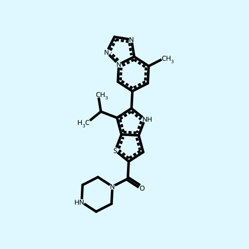 Cc1cc(-c2[nH]c3cc(C(=O)N4CCNCC4)sc3c2C(C)C)cn2ncnc12